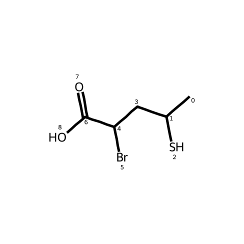 CC(S)CC(Br)C(=O)O